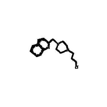 ClCCCN1CCN(Cc2ccc3ccccc3n2)CC1